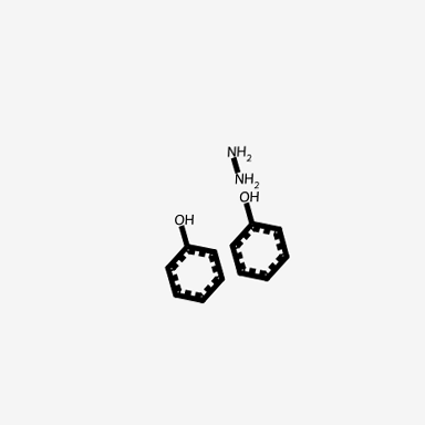 NN.Oc1ccccc1.Oc1ccccc1